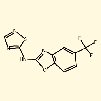 FC(F)(F)c1ccc2oc(Nc3ncns3)nc2c1